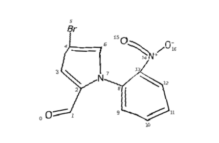 O=Cc1cc(Br)cn1-c1ccccc1[N+](=O)[O-]